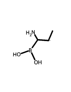 C[CH]C(N)B(O)O